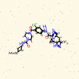 CNC1CC(NC(=O)N2CCN(C(=O)c3ccc(NC(=O)c4ncc(Cc5c(C(F)(F)F)n[nH]c5C5CC5)[nH]4)cc3Cl)CC2)C1